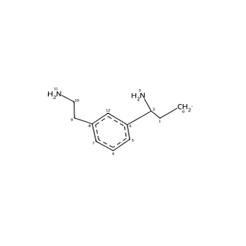 [CH2]CC(N)c1cccc(CCN)c1